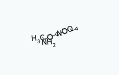 CC(N)c1ccc(C2CN(c3ccc(OCC4CC4)cc3)C2)cc1